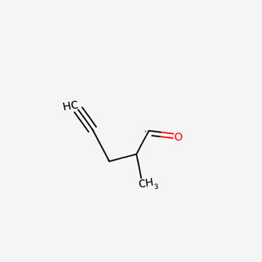 C#CCC(C)[C]=O